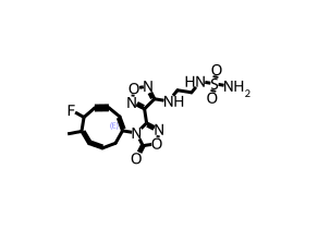 CC1=C=CC/C(n2c(-c3nonc3NCCNS(N)(=O)=O)noc2=O)=C\C#CC1F